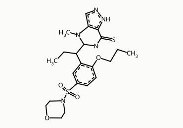 CCCOc1ccc(S(=O)(=O)N2CCOCC2)cc1C(CC)C1[N]C(=S)c2[nH]ncc2N1C